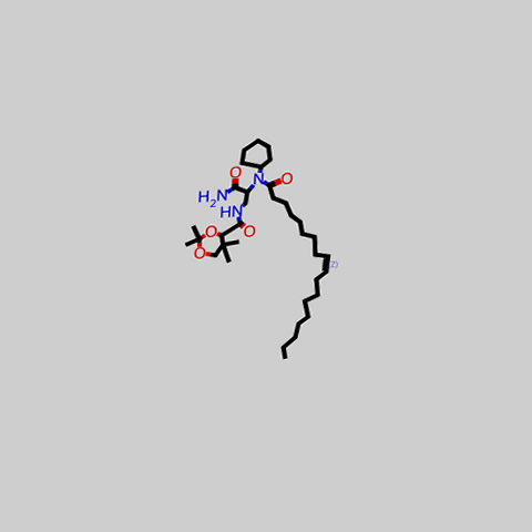 CCCCCCCC/C=C\CCCCCCCC(=O)N(C1CCCCC1)C(CNC(=O)C1OC(C)(C)OCC1(C)C)C(N)=O